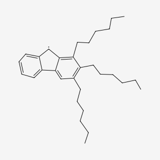 CCCCCCc1cc2c(c(CCCCCC)c1CCCCCC)[CH]c1ccccc1-2